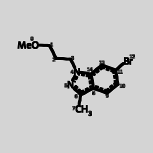 COCCCn1nc(C)c2ccc(Br)cc21